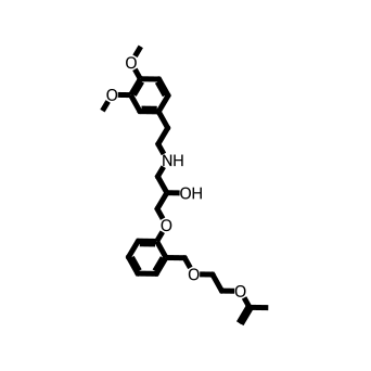 C=C(C)OCCOCc1ccccc1OCC(O)CNCCc1ccc(OC)c(OC)c1